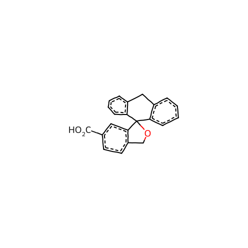 O=C(O)c1ccc2c(c1)C1(OC2)c2ccccc2Cc2ccccc21